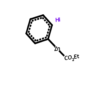 CCO[C](=O)[Zn][c]1ccccc1.I